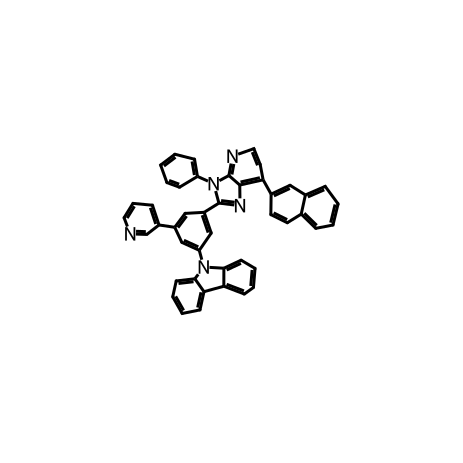 c1ccc(-n2c(-c3cc(-c4cccnc4)cc(-n4c5ccccc5c5ccccc54)c3)nc3c(-c4ccc5ccccc5c4)ccnc32)cc1